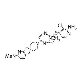 CNc1ccc2c(n1)CC1(CCN(/C3=N/C4=CC=C(Sc5ccnc(N)c5Cl)/C(=N/C=C3)N4C)CC1)C2